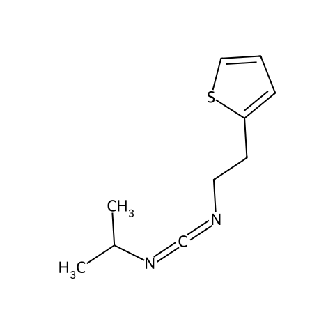 CC(C)N=C=NCCc1cccs1